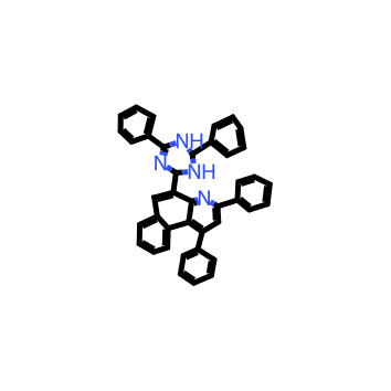 c1ccc(C2=NC(c3cc4ccccc4c4c(-c5ccccc5)cc(-c5ccccc5)nc34)NC(c3ccccc3)N2)cc1